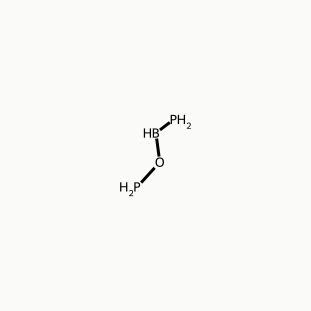 PBOP